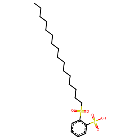 CCCCCCCCCCCCCCCCS(=O)(=O)c1ccccc1S(=O)(=O)O